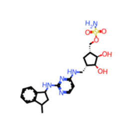 CC1CC(Nc2nccc(NC[C@@H]3C[C@H](COS(N)(=O)=O)[C@@H](O)[C@H]3O)n2)c2ccccc21